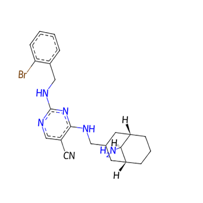 N#Cc1cnc(NCc2ccccc2Br)nc1NCC1C[C@H]2CCC[C@@H](C1)[C@@H]2N